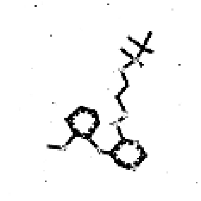 COc1ccccc1Oc1cncnc1NOCCO[Si](C)(C)C(C)(C)C